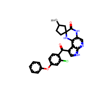 COC1CCC2(C1)Nc1c(cnc3[nH]cc(C(=O)c4ccc(Oc5ccccc5)cc4Cl)c13)NC2=O